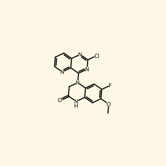 COc1cc2c(cc1F)N(c1nc(Cl)nc3cccnc13)CC(=O)N2